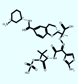 CC1(C)[C@H](NC(=O)/C(=N\O[C@](C)(C(=O)O)[C@H]2CCc3cc(C(=N)N[C@H]4CCC[C@H](N)C4)ccc3O2)c2csc(N)n2)C(=O)N1OS(=O)(=O)O